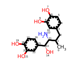 CC(Cc1ccc(O)c(O)c1)[C@@H](N)[C@H](O)c1ccc(O)c(O)c1